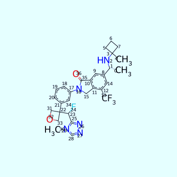 C[C@@H](NC1(C)CCC1)c1cc2c(c(C(F)(F)F)c1)CN(c1cccc(C3(C(F)c4nncn4C)COC3)c1)C2=O